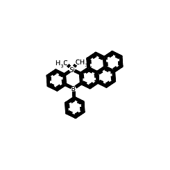 C[Si]1(C)c2ccccc2B(c2ccccc2)c2cc3ccc4cccc5ccc(c21)c3c45